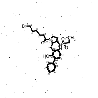 CCS(=O)(=O)NC1CCN(C(=O)CCCCCBr)C1Cc1cccc(-c2ccccc2)c1O